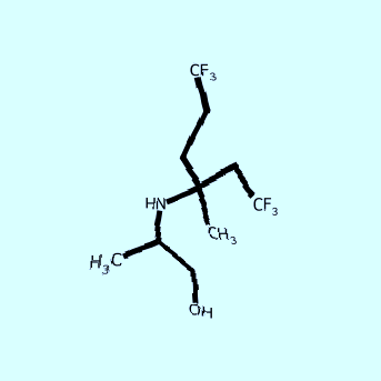 CC(CO)NC(C)(CCC(F)(F)F)CC(F)(F)F